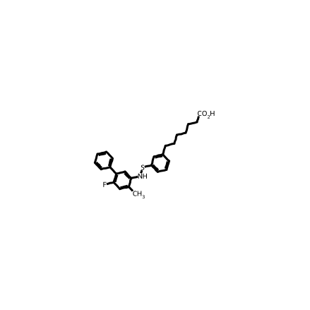 Cc1cc(F)c(-c2ccccc2)cc1NSc1cccc(CCCCCCC(=O)O)c1